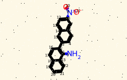 Nc1c(-c2ccc3cc([N+](=O)[O-])ccc3c2)ccc2ccccc12